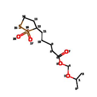 CC(C)OCOC(=O)CCCCC1CCSS1(=O)=O